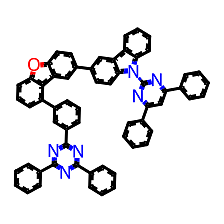 c1ccc(-c2cc(-c3ccccc3)nc(-n3c4ccccc4c4cc(-c5ccc6oc7cccc(-c8cccc(-c9nc(-c%10ccccc%10)nc(-c%10ccccc%10)n9)c8)c7c6c5)ccc43)n2)cc1